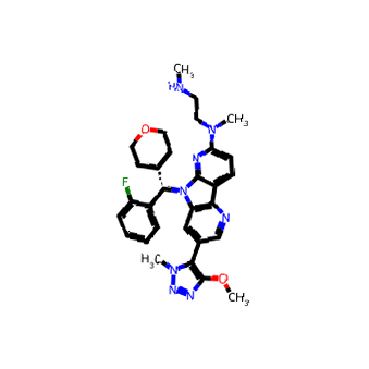 CNCCN(C)c1ccc2c3ncc(-c4c(OC)nnn4C)cc3n([C@H](c3ccccc3F)C3CCOCC3)c2n1